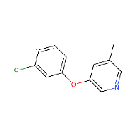 Cc1cncc(Oc2cc[c]c(Cl)c2)c1